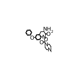 CN1CCN(C(=O)ON2C(=O)[C@@H](N)Cc3cc(Oc4ccccc4)ccc32)CC1